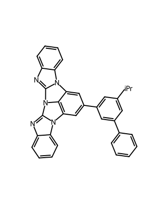 CC(C)c1cc(-c2ccccc2)cc(-c2cc3c4c(c2)n2c5ccccc5nc2n4c2nc4ccccc4n32)c1